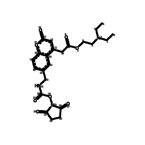 CCN(CC)CCOC(=O)Cc1cc(=O)oc2ccc(CNC(=O)ON3C(=O)CCC3=O)cc12